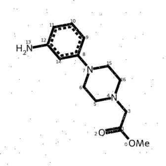 COC(=O)CN1CCN(c2cccc(N)c2)CC1